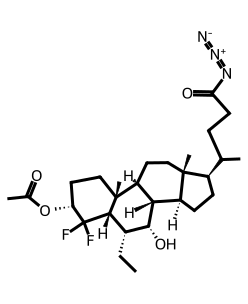 CC[C@H]1[C@@H](O)[C@@H]2[C@H](CC[C@]3(C)[C@@H](C(C)CCC(=O)N=[N+]=[N-])CC[C@@H]23)[C@@]2(C)CC[C@@H](OC(C)=O)C(F)(F)[C@@H]12